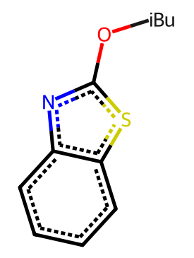 CCC(C)Oc1nc2ccccc2s1